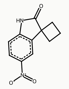 O=C1Nc2ccc([N+](=O)[O-])cc2C12CCC2